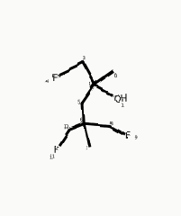 CC(O)(CF)CC(C)(CF)CF